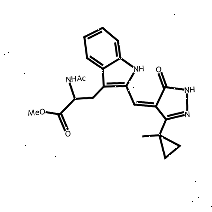 COC(=O)C(Cc1c(/C=C2\C(=O)NN=C2C2(C)CC2)[nH]c2ccccc12)NC(C)=O